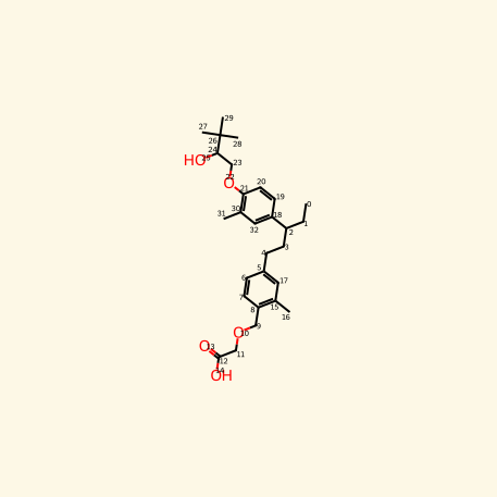 CCC(CCc1ccc(COCC(=O)O)c(C)c1)c1ccc(OCC(O)C(C)(C)C)c(C)c1